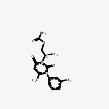 Cc1cc(=O)n([C@H](C)CSC(N)=O)c(=O)n1-c1cccc(C(F)(F)F)c1